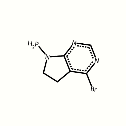 PN1CCc2c(Br)ncnc21